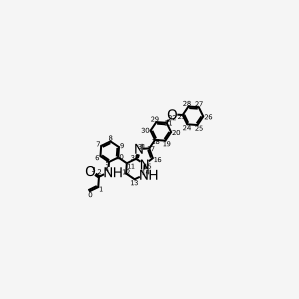 C=CC(=O)Nc1ccccc1C1CCNn2cc(-c3ccc(Oc4ccccc4)cc3)nc21